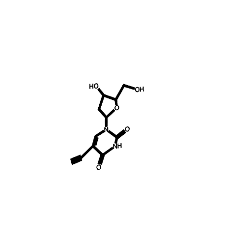 C#Cc1cn(C2CC(O)C(CO)O2)c(=O)[nH]c1=O